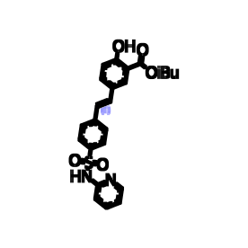 CC(C)COC(=O)c1cc(/C=C/c2ccc(S(=O)(=O)Nc3ccccn3)cc2)ccc1O